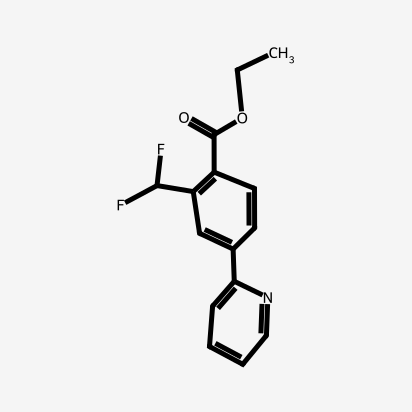 CCOC(=O)c1ccc(-c2ccccn2)cc1C(F)F